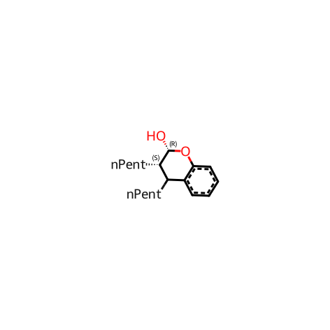 CCCCCC1c2ccccc2O[C@@H](O)[C@H]1CCCCC